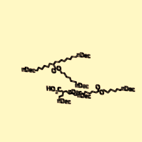 CCCCCCCCCCCCCCC(CCCCCCCCCCCC)C(=O)O.CCCCCCCCCCCCCCCCCCC(CCCCCCCCCCCCCCCC)C(=O)OCCCCCCCCCCCCCCCC.CCCCCCCCCCCCCCCCOC(=O)CCCCCCCCCCCCCCC